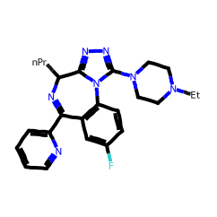 CCCC1N=C(c2ccccn2)c2cc(F)ccc2-n2c1nnc2N1CCN(CC)CC1